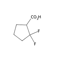 O=C(O)C1CCCC1(F)F